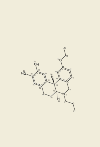 CCCN1Cc2ccc(OCC)cc2[C@H]2c3cc(O)c(O)cc3CC[C@@H]21